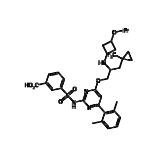 Cc1cccc(C)c1-c1cc(OCC(CC2(C(F)(F)F)CC2)NC2CC(OC(C)C)C2)nc(NS(=O)(=O)c2cccc(C(=O)O)c2)n1